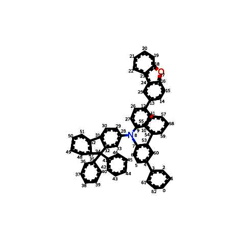 c1ccc(-c2ccc(N(c3ccc(-c4ccc5oc6ccccc6c5c4)cc3)c3ccc4c(c3)C(c3ccccc3)(c3ccccc3)c3ccccc3-4)c(-c3ccccc3)c2)cc1